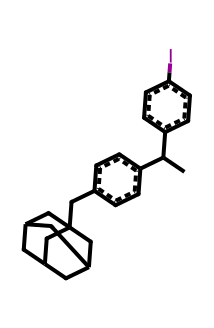 CC(c1ccc(I)cc1)c1ccc(CC23CC4CC(CC(C4)C2)C3)cc1